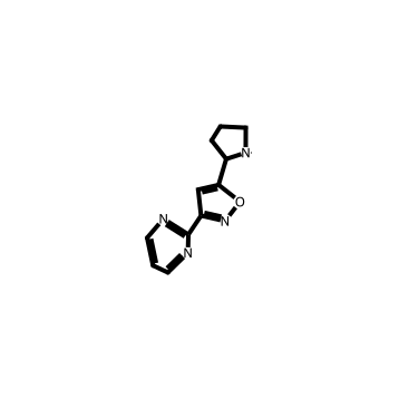 c1cnc(-c2cc(C3CCC[N]3)on2)nc1